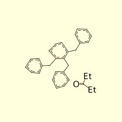 CCC(=O)CC.c1ccc(Cc2cccc(Cc3ccccc3)c2Cc2ccccc2)cc1